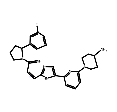 N=C(/C=C\c1ncc(-c2cccc(N3CCC(N)CC3)n2)[nH]1)N1CCCC1c1cccc(F)c1